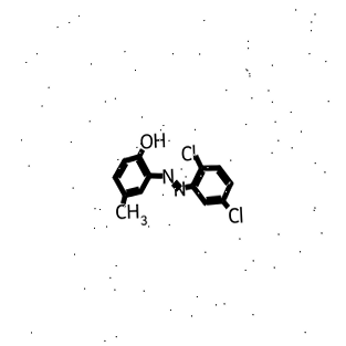 Cc1ccc(O)c(N=Nc2cc(Cl)ccc2Cl)c1